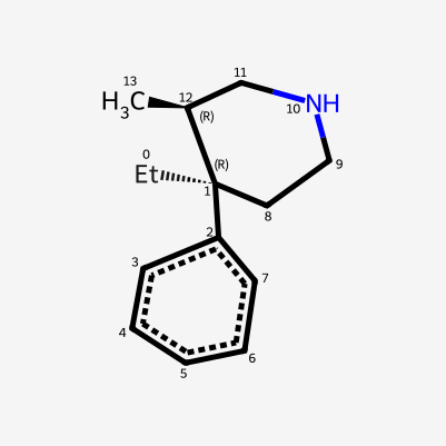 CC[C@@]1(c2ccccc2)CCNC[C@@H]1C